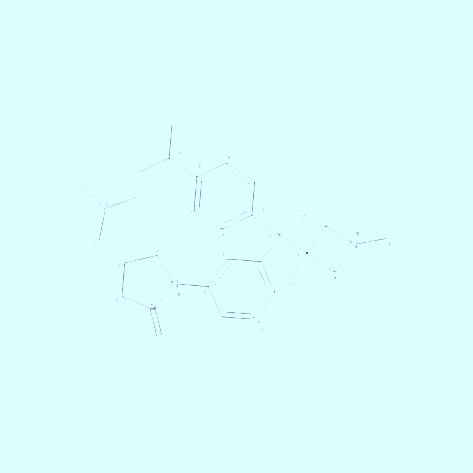 CC(C)C[C@H]1CC(=O)N(c2cncc([C@@](O)(c3ccc(C(C)C)cc3)C3(C)CN(C)C3)c2)C1